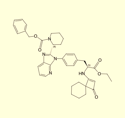 CCOC(=O)[C@H](Cc1ccc(-n2c([C@H]3CCCCN3C(=O)OCc3ccccc3)nc3cccnc32)cc1)NC1=CC(=O)C12CCCCC2